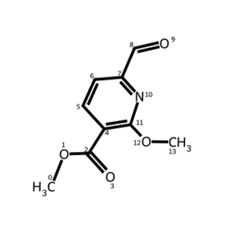 COC(=O)c1ccc(C=O)nc1OC